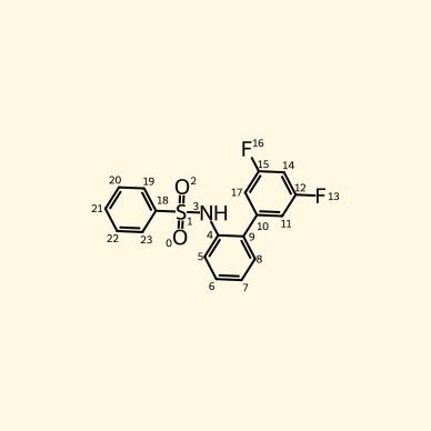 O=S(=O)(Nc1ccccc1-c1cc(F)cc(F)c1)c1ccccc1